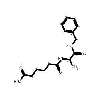 CC(=O)CCCCC(=O)NC(C)C(=O)OCc1ccccc1